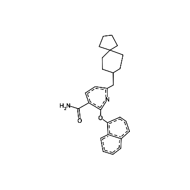 NC(=O)c1ccc(CC2CCC3(CCCC3)CC2)nc1Oc1cccc2ccccc12